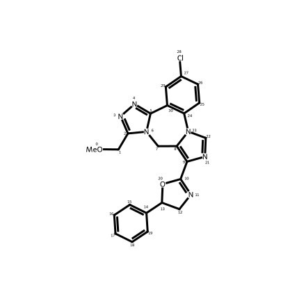 COCc1nnc2n1Cc1c(C3=NCC(c4ccccc4)O3)ncn1-c1ccc(Cl)cc1-2